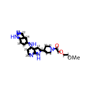 COCCOCC(=O)N1CC=C(c2cc3c(Nc4ccc5[nH]ncc5c4)ccnc3[nH]2)CC1